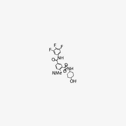 CNc1ccc(C(=O)Nc2cc(F)c(F)c(F)c2)cc1S(=O)(=O)NC1CCC(O)CC1